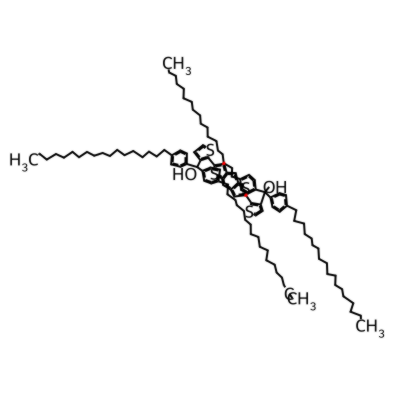 CCCCCCCCCCCCCCCCCCc1ccc(C(O)(c2ccc(CCCCCCCCCCCCCCCCCC)cc2)c2ccsc2-c2cc3cc4sc(-c5sccc5C(O)(c5ccc(CCCCCCCCCCCCCCCCCC)cc5)c5ccc(CCCCCCCCCCCCCCCCCC)cc5)cc4cc3s2)cc1